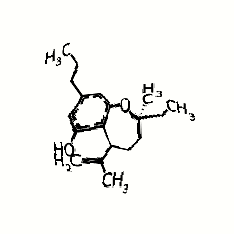 C=C(C)C1CC[C@](C)(CC)Oc2cc(CCC)cc(O)c21